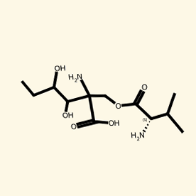 CCC(O)C(O)C(N)(COC(=O)[C@@H](N)C(C)C)C(=O)O